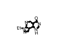 CCn1ncc2c3[nH]cnc(=O)c3cnc21